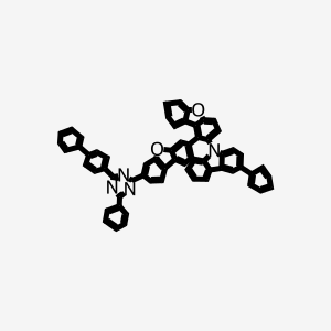 c1ccc(-c2ccc(-c3nc(-c4ccccc4)nc(-c4ccc5c(c4)oc4cc(-c6c(-n7c8ccccc8c8cc(-c9ccccc9)ccc87)ccc7oc8ccccc8c67)ccc45)n3)cc2)cc1